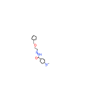 CN(C)c1ccc(C(=O)N/N=C/COCc2ccccc2)cc1